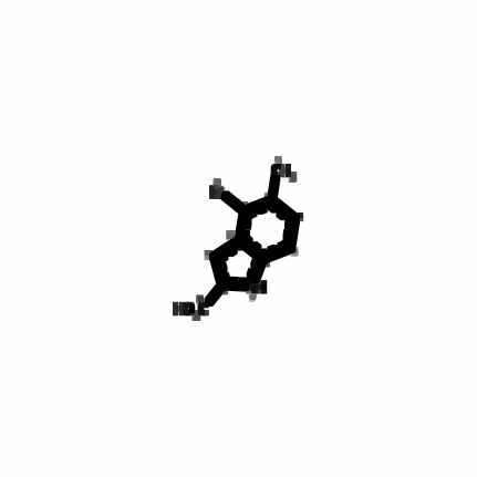 CCc1c(C)ccc2[nH]c(C(=O)O)cc12